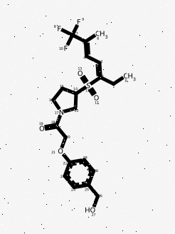 CC/C(=C/C=C(\C)C(F)(F)F)S(=O)(=O)C1CCN(C(=O)COc2ccc(CO)cc2)C1